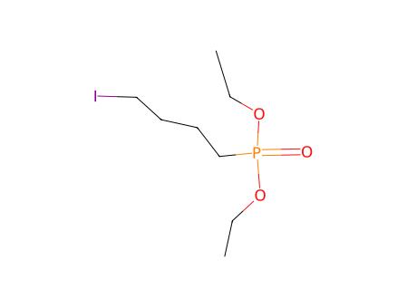 CCOP(=O)(CCCCI)OCC